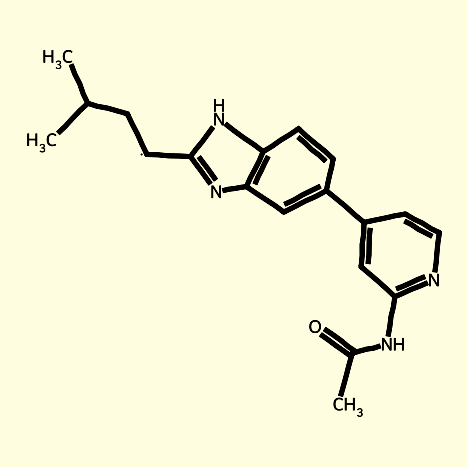 CC(=O)Nc1cc(-c2ccc3[nH]c([CH]CC(C)C)nc3c2)ccn1